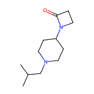 C[C](C)CN1CCC(N2CCC2=O)CC1